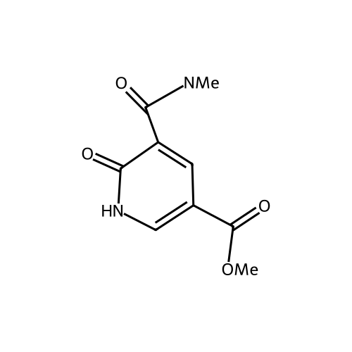 CNC(=O)c1cc(C(=O)OC)c[nH]c1=O